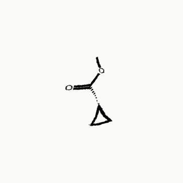 COC(=O)[C@H]1[CH]C1